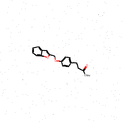 COC(=O)CCc1ccc(OCc2cc3ccccc3o2)cc1